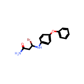 NC(=O)CC(Br)Nc1ccc(Oc2ccccc2)cc1